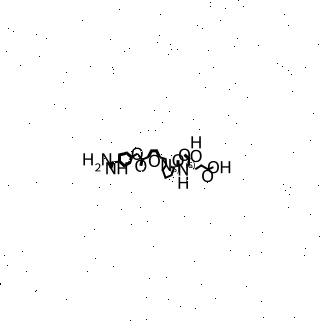 N=C(N)c1ccc(OC(=O)c2ccc(CN3CCC[C@H]3C(=O)N[C@@H](CCC(=O)O)C(=O)O)o2)cc1